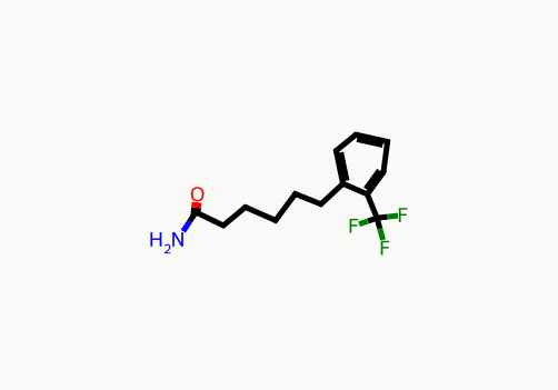 NC(=O)CCCCCc1ccccc1C(F)(F)F